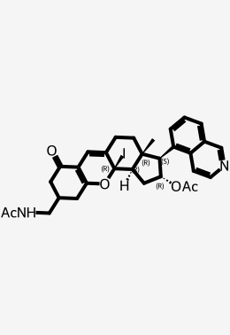 CC(=O)NCC1CC(=O)C2=C(C1)O[C@]1(I)C(=C2)CC[C@@]2(C)[C@H]1C[C@@H](OC(C)=O)[C@@H]2c1cccc2cnccc12